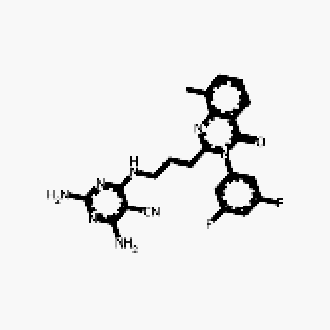 Cc1cccc2c(=O)n(-c3cc(F)cc(F)c3)c(CCCNc3nc(N)nc(N)c3C#N)nc12